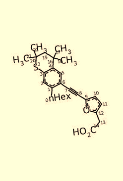 CCCCCCc1cc2c(cc1C#Cc1ccc(CC(=O)O)o1)C(C)(C)CC(C)(C)S2